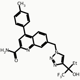 CCC(O)(c1cn(Cc2ccc3c(-c4ccc(C)cc4)cc(C(N)=O)nc3c2)nn1)C(F)(F)F